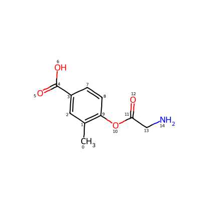 Cc1cc(C(=O)O)ccc1OC(=O)CN